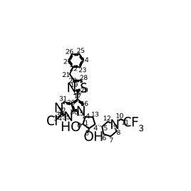 O[C@@H]1[C@H](O)[C@@H](C2CCCN(CC(F)(F)F)C2)C[C@H]1n1cc(-c2nc(Cc3ccccc3)cs2)c2cnc(Cl)nc21